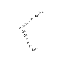 [F-].[F-].[F-].[F-].[F-].[O-2].[O-2].[O-2].[O-2].[O-2].[Ta+5].[Ta+5].[Ta+5]